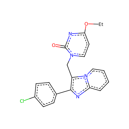 CCOc1ccn(Cc2c(-c3ccc(Cl)cc3)nc3ccccn23)c(=O)n1